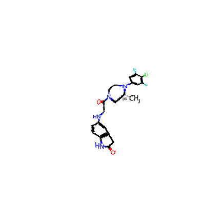 C[C@@H]1CN(C(=O)CNc2ccc3c(c2)CC(=O)N3)CCN1c1cc(F)c(Cl)c(F)c1